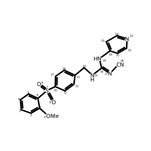 COc1ccccc1S(=O)(=O)c1ccc(CNC(=NC#N)Nc2ccncc2)cc1